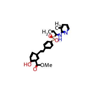 C=CC(Nc1ncccc1C)S(=O)(=O)c1ccc(C=Cc2ccc(O)c(C(=O)OC)c2)cc1